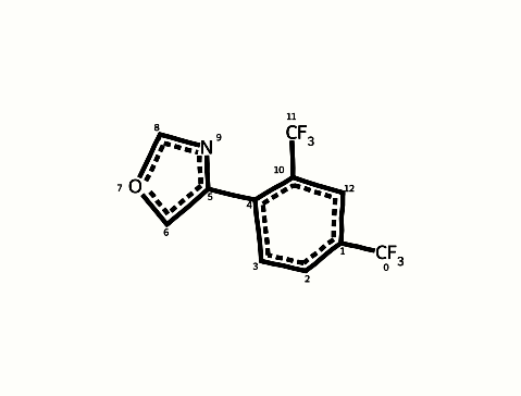 FC(F)(F)c1ccc(-c2co[c]n2)c(C(F)(F)F)c1